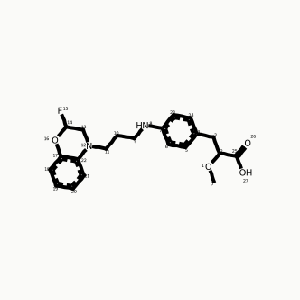 COC(Cc1ccc(NCCCN2CC(F)Oc3ccccc32)cc1)C(=O)O